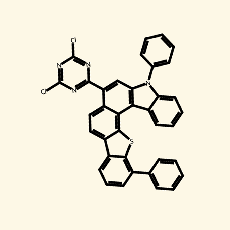 Clc1nc(Cl)nc(-c2cc3c(c4ccccc4n3-c3ccccc3)c3c2ccc2c4cccc(-c5ccccc5)c4sc23)n1